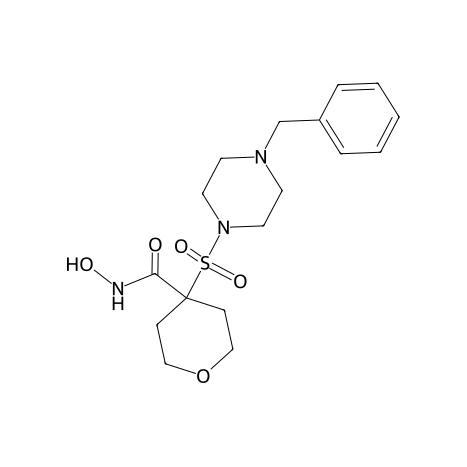 O=C(NO)C1(S(=O)(=O)N2CCN(Cc3ccccc3)CC2)CCOCC1